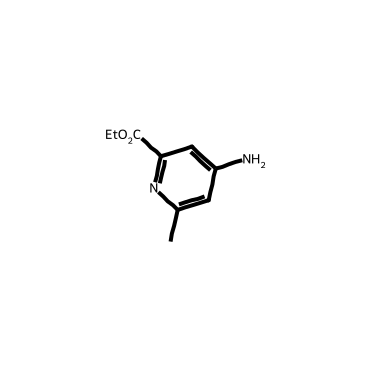 CCOC(=O)c1cc(N)cc(C)n1